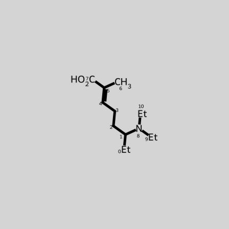 CCC(CC/C=C(\C)C(=O)O)N(CC)CC